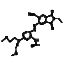 CCN1C(=O)c2cc(C#N)c(/N=N/c3ccc(N(CCOC)CCOC)cc3NC(C)=O)cc2C1=O